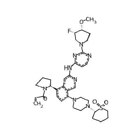 C=CC(=O)N1CCC[C@H]1c1ccc(N2CCN([C@H]3CCCCS3(=O)=O)CC2)c2cnc(Nc3ccnc(N4CC[C@@H](OC)[C@@H](F)C4)n3)cc12